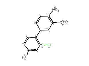 O=[C]c1cc(-c2ccc(C(F)(F)F)cc2Cl)ccc1[N+](=O)[O-]